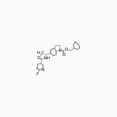 C[C@@H](NC(=O)c1ccc(F)nc1)c1ccc2c(c1)CCN2C(=O)OCc1ccccc1